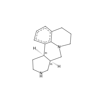 c1cc2c3c(c1)[C@@H]1CCNC[C@@H]1CN3CCC2